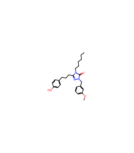 CCCCCCn1c(CCCc2ccc(O)cc2)nn(Cc2cccc(OC)c2)c1=O